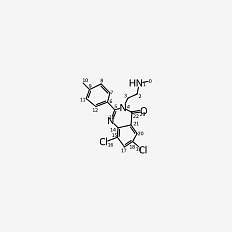 CNCCn1c(-c2ccc(C)cc2)nc2c(Cl)cc(Cl)cc2c1=O